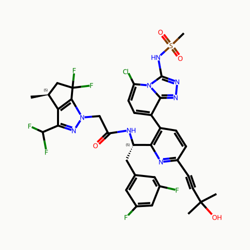 C[C@H]1CC(F)(F)c2c1c(C(F)F)nn2CC(=O)N[C@@H](Cc1cc(F)cc(F)c1)c1nc(C#CC(C)(C)O)ccc1-c1ccc(Cl)n2c(NS(C)(=O)=O)nnc12